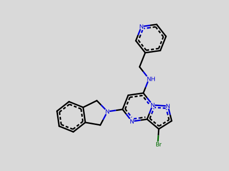 Brc1cnn2c(NCc3cccnc3)cc(N3Cc4ccccc4C3)nc12